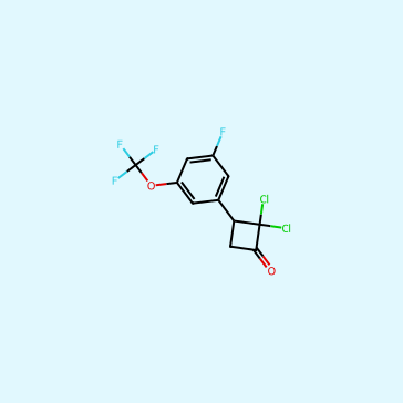 O=C1CC(c2cc(F)cc(OC(F)(F)F)c2)C1(Cl)Cl